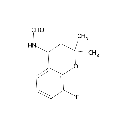 CC1(C)CC(NC=O)c2cccc(F)c2O1